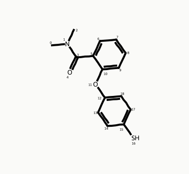 CN(C)C(=O)c1ccccc1Oc1ccc(S)cc1